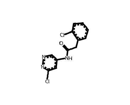 O=C(Cc1ccccc1Cl)Nc1cnnc(Cl)c1